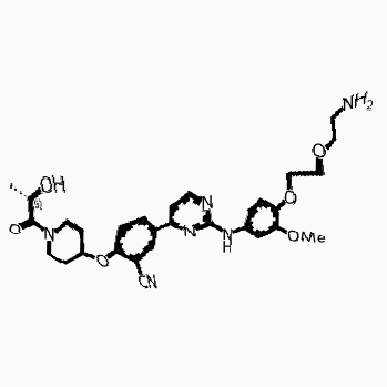 COc1cc(Nc2nccc(-c3ccc(OC4CCN(C(=O)[C@H](C)O)CC4)c(C#N)c3)n2)ccc1OCCOCCN